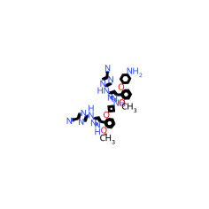 CCOc1cccc(O[C@H]2C[C@H](Nn3nc(Nc4cnc(C#N)cn4)cc3-c3c(OC)cccc3O[C@H]3CC[C@@H](N)CC3)C2)c1-c1cc(Nc2cnc(C#N)cn2)n[nH]1